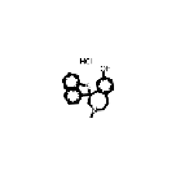 CN1CCc2ccc(O)cc2C(Sc2ccccc2)(c2ccccc2)C1.Cl